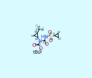 CC(C)(C)OC(=O)N(C(=O)NS(=O)(=O)C1CC1)C1CC1C(F)F